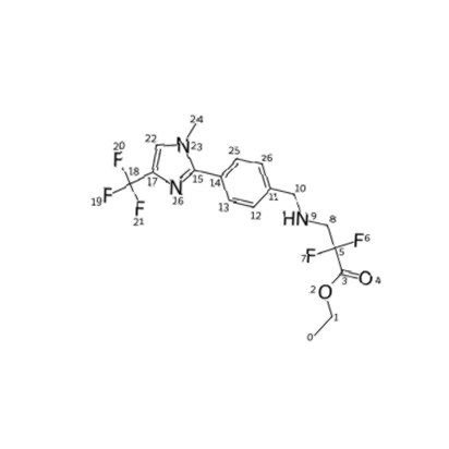 CCOC(=O)C(F)(F)CNCc1ccc(-c2nc(C(F)(F)F)cn2C)cc1